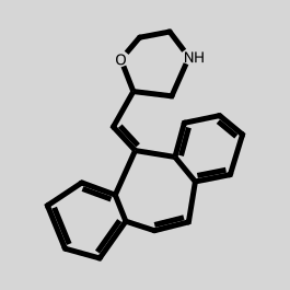 C1=Cc2ccccc2C(=CC2CNCCO2)c2ccccc21